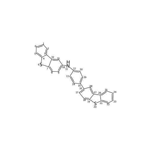 c1ccc2c(c1)sc1ccc(Nc3ccc(-c4ccc5sc6ccccc6c5c4)cc3)cc12